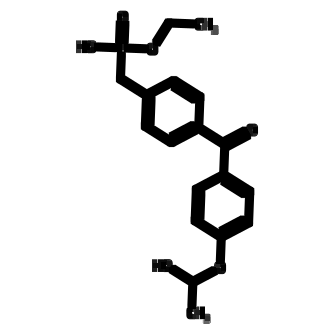 CCOP(=O)(O)Cc1ccc(C(=O)c2ccc(OC(C)O)cc2)cc1